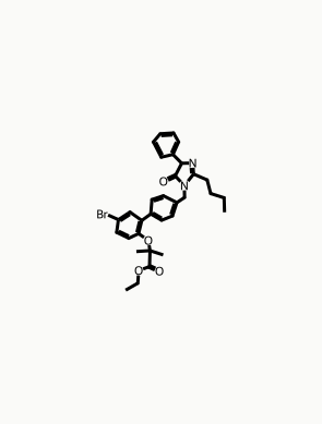 CCCCC1=NC(c2ccccc2)C(=O)N1Cc1ccc(-c2cc(Br)ccc2OC(C)(C)C(=O)OCC)cc1